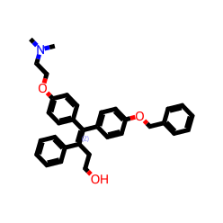 CN(C)CCOc1ccc(/C(=C(/CCO)c2ccccc2)c2ccc(OCc3ccccc3)cc2)cc1